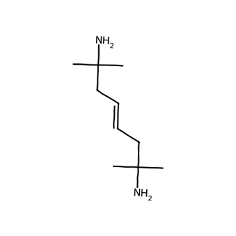 CC(C)(N)CC=CCC(C)(C)N